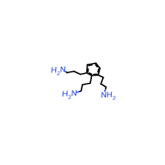 NCCCc1cccc(CCCN)c1CCCN